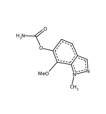 COc1c(OC(N)=O)ccc2cnn(C)c12